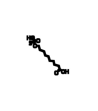 O=C(O)CCCCCCCCCOS(=O)(O)=S